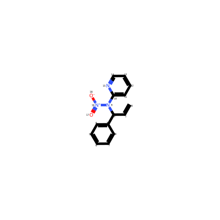 C=CC(c1ccccc1)N(c1ccccn1)[N+](=O)[O-]